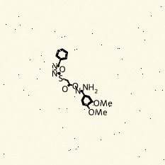 COc1ccc(C(N)=NOC(=O)CSc2nnc(-c3ccccc3)o2)cc1OC